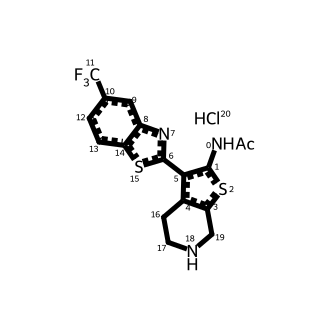 CC(=O)Nc1sc2c(c1-c1nc3cc(C(F)(F)F)ccc3s1)CCNC2.Cl